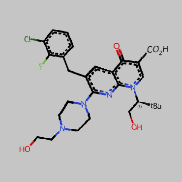 CC(C)(C)[C@@H](CO)n1cc(C(=O)O)c(=O)c2cc(Cc3cccc(Cl)c3F)c(N3CCN(CCO)CC3)nc21